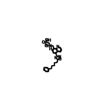 O=P(O)(O)CNCc1ccc(-c2noc(CCCCCc3ccccc3)n2)c2cccnc12